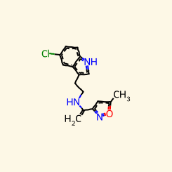 C=C(NCCc1c[nH]c2ccc(Cl)cc12)c1cc(C)on1